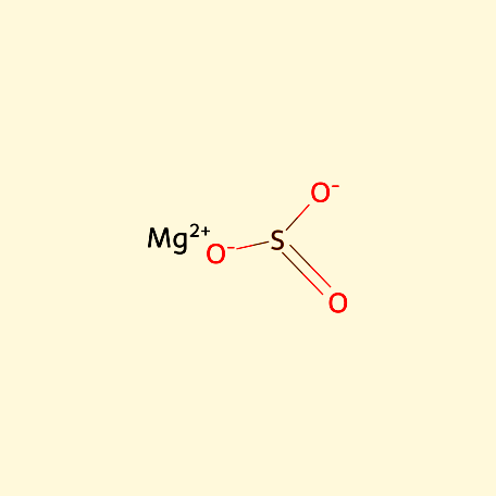 O=S([O-])[O-].[Mg+2]